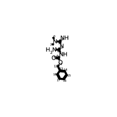 CN(C)C(=N)/N=C(\N)NC(=O)OCc1ccccc1